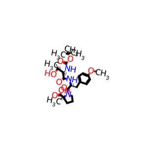 COc1ccc(C[C@H](NC(=O)[C@@H](NC(=O)OC(C)(C)C)[C@@H](C)O)C(=O)N2CCC[C@@]2(C)C(=O)O)cc1